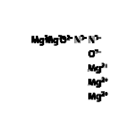 [Mg+2].[Mg+2].[Mg+2].[Mg+2].[Mg+2].[N-3].[N-3].[O-2].[O-2]